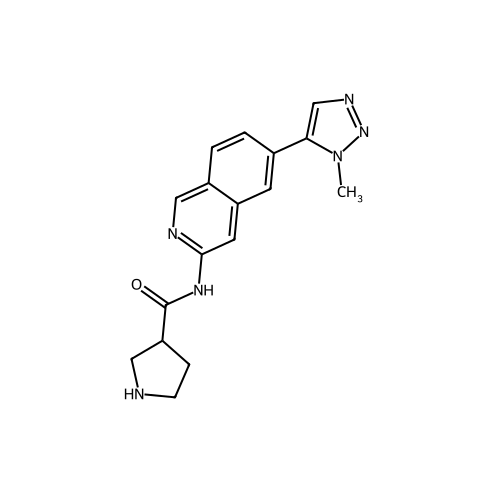 Cn1nncc1-c1ccc2cnc(NC(=O)C3CCNC3)cc2c1